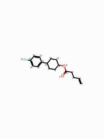 C=CCCC(=O)OC1CCC(c2ccc(F)cc2)CC1